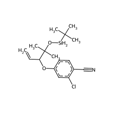 C=CC(Oc1ccc(C#N)c(Cl)c1)C(C)(C)O[SiH2]C(C)(C)C